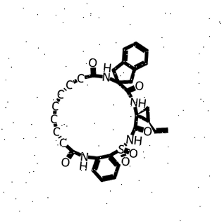 C=C[C@@H]1C[C@@]12NC(=O)C1(Cc3ccccc3C1)NC(=O)CCCCCCCC(=O)Nc1ccccc1S(=O)(=O)NC2=O